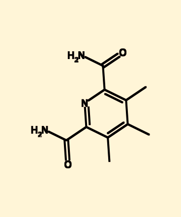 Cc1c(C(N)=O)nc(C(N)=O)c(C)c1C